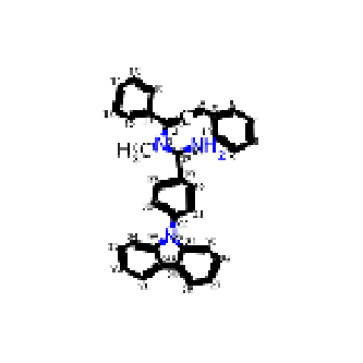 CN(C(=C=Cc1ccccc1)c1ccccc1)C(N)c1ccc(-n2c3ccccc3c3ccccc32)cc1